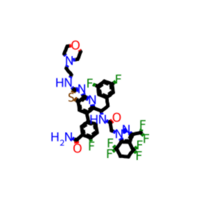 NC(=O)c1cc(-c2cc3sc(NCCN4CCOCC4)nc3nc2C(Cc2cc(F)cc(F)c2)NC(=O)Cn2nc(C(F)F)c3c2C(F)(F)CCC3(F)F)ccc1F